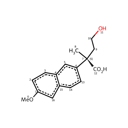 COc1ccc2cc([C@](C)(CCO)C(=O)O)ccc2c1